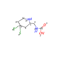 O=C(O)NCC1CC(F)(F)CCN1